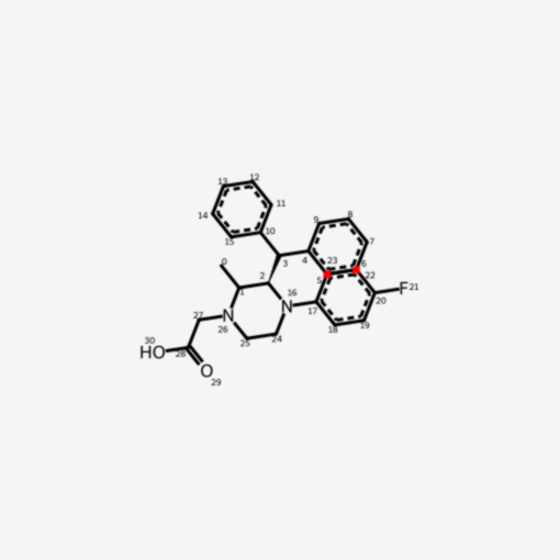 CC1[C@@H](C(c2ccccc2)c2ccccc2)N(c2ccc(F)cc2)CCN1CC(=O)O